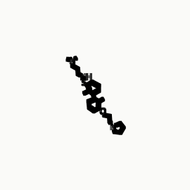 Cc1c(OCCCN2CCCC2)cccc1-c1cccc(SNCCCN(C)C)c1C